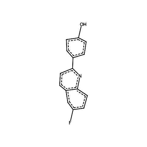 Oc1ccc(-c2ccc3cc(F)ccc3n2)cc1